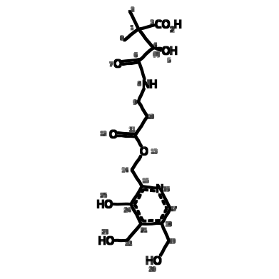 CC(C)(C(=O)O)[C@@H](O)C(=O)NCCC(=O)OCc1ncc(CO)c(CO)c1O